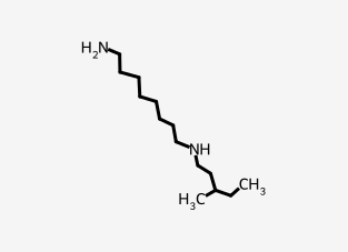 CCC(C)CCNCCCCCCCCN